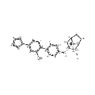 Oc1cc(-c2nncs2)ccc1-c1ccc(O[C@@H]2CC3CCC(N3)[C@@H]2F)nn1